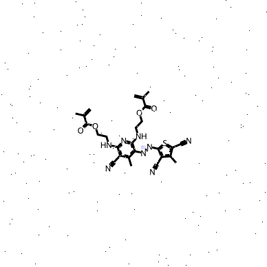 C=C(C)C(=O)OCCNc1nc(NCCOC(=O)C(=C)C)c(/N=N/c2sc(C#N)c(C)c2C#N)c(C)c1C#N